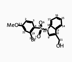 COc1ccc(S(=O)(=O)n2cc(CO)c3ccccc32)c(Br)c1